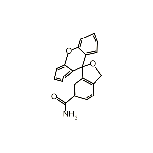 NC(=O)c1ccc2c(c1)C1(OC2)c2ccccc2Oc2ccccc21